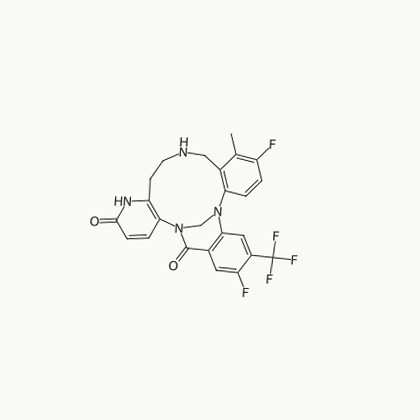 Cc1c(F)ccc2c1CNCCc1[nH]c(=O)ccc1N1CN2c2cc(C(F)(F)F)c(F)cc2C1=O